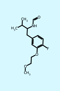 COCCOc1cc(CC(NC=O)C(C)C)ccc1F